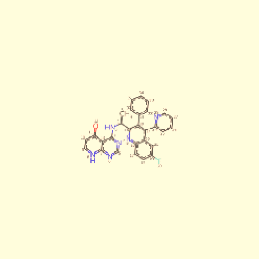 CC(Nc1ncnc2[nH]ccc(=O)c12)c1nc2ccc(F)cc2c(-c2ccccn2)c1-c1ccccc1